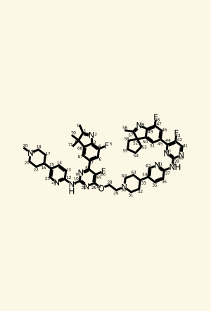 CC1=Nc2c(F)cc(-c3nc(Nc4ccc(C5CCN(C)CC5)cn4)nc(OCCN4CCC(c5ccc(Nc6ncc(F)c(-c7cc(F)c8c(c7)C7(CCCC7)C(C)=N8)n6)nc5)CC4)c3F)cc2C1(C)C